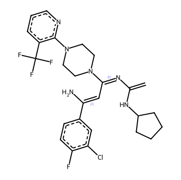 C=C(/N=C(\C=C(/N)c1ccc(F)c(Cl)c1)N1CCN(c2ncccc2C(F)(F)F)CC1)NC1CCCC1